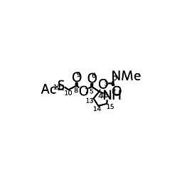 CNC(=O)O[C@@]1(C(=O)OC(=O)CSC(C)=O)CCCN1